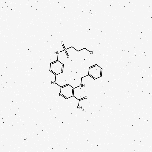 NC(=O)c1cnc(Nc2ccc(NS(=O)(=O)CCCCl)cc2)cc1NCc1ccccc1